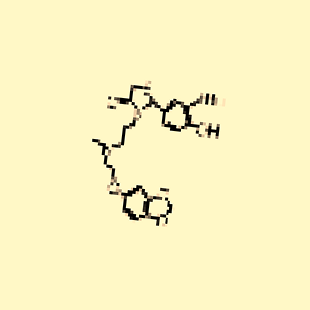 CN(CCCN1C(=O)CSC1c1ccc(O)c(C(C)(C)C)c1)CCOc1ccc2c(c1)OCO2